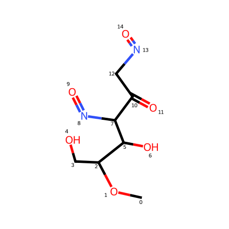 COC(CO)C(O)C(N=O)C(=O)CN=O